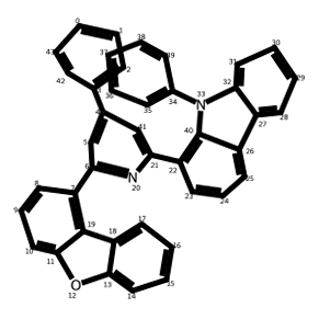 c1ccc(-c2cc(-c3cccc4oc5ccccc5c34)nc(-c3cccc4c5ccccc5n(-c5ccccc5)c34)c2)cc1